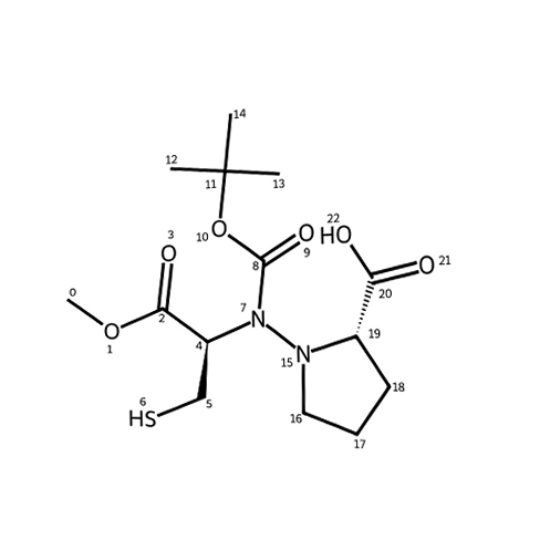 COC(=O)[C@H](CS)N(C(=O)OC(C)(C)C)N1CCC[C@H]1C(=O)O